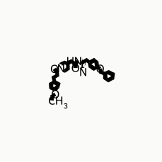 CCOc1ccc(CCC(=O)N2CCC(CC(=O)N[C@H](C#N)Cc3ccc(OCc4ccccc4)cc3)CC2)cc1